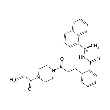 C=CC(=O)N1CCN(C(=O)CCc2ccccc2C(=O)N[C@H](C)c2cccc3ccccc23)CC1